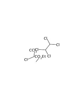 CCOC(C)=O.ClC(Cl)C(Cl)Cl.ClCC(Cl)(Cl)Cl